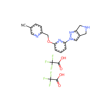 N#Cc1ccc(COc2cccc(-n3cc4c(n3)CNC4)n2)nc1.O=C(O)C(F)(F)F.O=C(O)C(F)(F)F